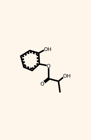 CC(O)C(=O)Oc1ccccc1O